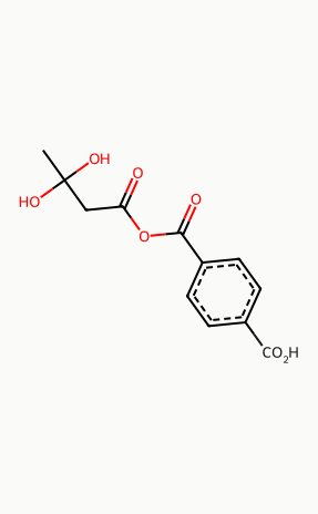 CC(O)(O)CC(=O)OC(=O)c1ccc(C(=O)O)cc1